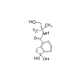 CC(C)(CO)NC(=O)c1cccc2c1C=CS2(O)O